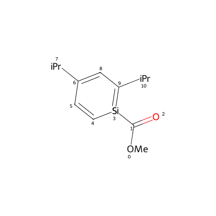 COC(=O)[si]1ccc(C(C)C)cc1C(C)C